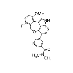 COc1ccc(F)c2c1-c1c[nH]c3ncc(-c4cncc(C(=O)N(C)C)c4)c(c13)OC2